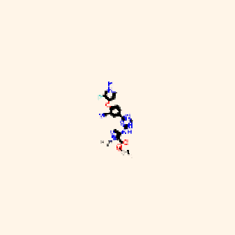 COC(=O)c1c(Nc2ncnc(-c3ccc(O[C@H]4CCNC[C@@H]4F)c(C#N)c3)n2)cnn1C